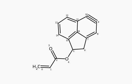 C=CC(=O)OC1Cc2cc#cc3cccc1c23